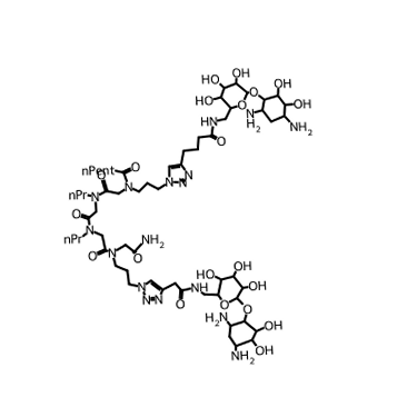 CCCCCC(=O)N(CCCn1cc(CCCC(=O)NCC2OC(OC3C(N)CC(N)C(O)C3O)C(O)C(O)C2O)nn1)CC(=O)N(CCC)CC(=O)N(CCC)CC(=O)N(CCCn1cc(CC(=O)NCC2OC(OC3C(N)CC(N)C(O)C3O)C(O)C(O)C2O)nn1)CC(N)=O